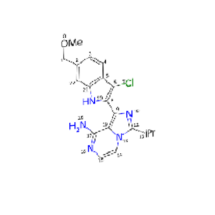 COCc1ccc2c(Cl)c(-c3nc(C(C)C)n4ccnc(N)c34)[nH]c2c1